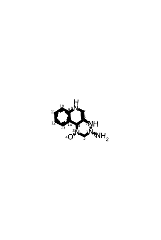 NN1CN([O])C2C(=CNc3ccccc32)N1